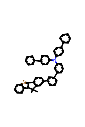 CC1(C)c2cc(-c3cccc(-c4cccc(N(c5ccc(-c6ccccc6)cc5)c5ccc(-c6ccccc6)cc5)c4)c3)ccc2-c2sc3ccccc3c21